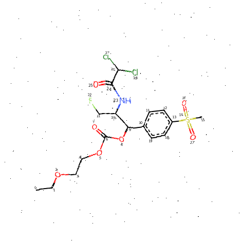 CCOCCOC(=O)OC(c1ccc(S(C)(=O)=O)cc1)C(CF)NC(=O)C(Cl)Cl